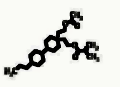 C=C(C)C(=O)OCCC1(CCOC(C)=O)CCC(C2CCC(CCC)CC2)CC1